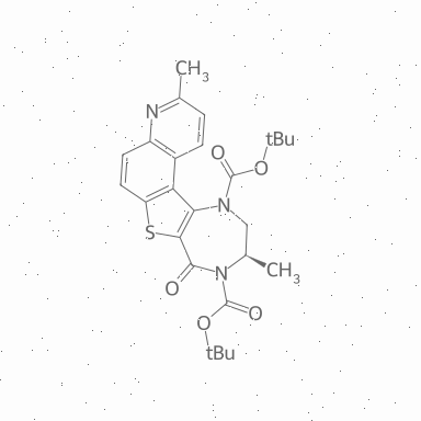 Cc1ccc2c(ccc3sc4c(c32)N(C(=O)OC(C)(C)C)C[C@@H](C)N(C(=O)OC(C)(C)C)C4=O)n1